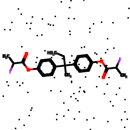 CC(I)C(=O)Oc1ccc(C(C)(CC(=O)O)c2ccc(OC(=O)C(C)I)cc2)cc1